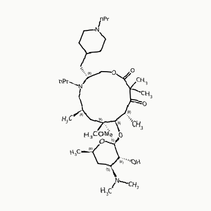 CCCN1CCC(C[C@@H]2COC(=O)C(C)(C)C(=O)[C@H](C)[C@@H](O[C@@H]3O[C@H](C)C[C@H](N(C)C)[C@H]3O)[C@](C)(OC)C[C@@H](C)CN2CCC)CC1